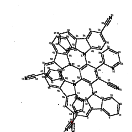 N#Cc1ccc2c(c1)c1ccccc1n2-c1c(C#N)c(-c2ccccn2)c(-n2c3ccccc3c3cc(C#N)ccc32)c(-n2c3ccccc3c3cc(C#N)ccc32)c1-n1c2ccccc2c2cc(C#N)ccc21